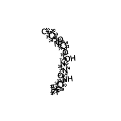 O=C(CN1CCN(C[C@H](O)COc2ccc3oc(-c4ccc(Cl)cc4)nc3c2)CC1)Nc1ccc(C(F)(F)F)cc1